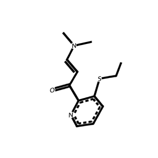 CCSc1cccnc1C(=O)C=CN(C)C